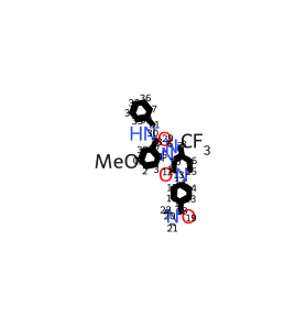 COc1ccc(-n2nc(C(F)(F)F)c3c2C(=O)N(c2ccc(C(=O)N(C)C)cc2)CC3)c(C(=O)NCc2ccccc2)c1